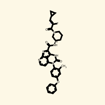 Cc1cc(Oc2ccccc2)ccc1N1C(=O)Nc2c(C(=O)N[C@@H]3CCCN(C(=O)/C(F)=C/C4CC4)C3)sc3nccc1c23